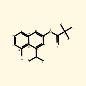 CC(C)c1cc(OC(=O)C(C)(C)C)cc2cccc(Cl)c12